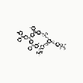 Cc1cccc(N(c2ccccc2)c2ccc(N(c3ccc(N(c4ccccc4)c4cccc(C)c4)cc3)c3ccc(N(c4ccc(COC(=O)CCc5cc(OCc6ccc(OC(F)=C(F)F)cc6)cc(OCc6ccc(OC(F)=C(F)F)cc6)c5)cc4)c4cccc(C)c4)cc3)cc2)c1